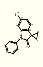 O=C(Nc1ccccc1)C1(c2ccc(Br)cc2)CC1